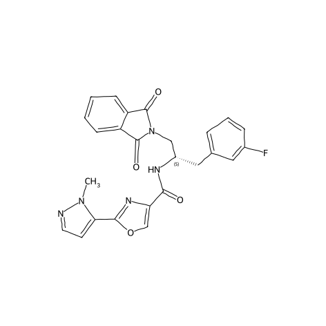 Cn1nccc1-c1nc(C(=O)N[C@@H](Cc2cccc(F)c2)CN2C(=O)c3ccccc3C2=O)co1